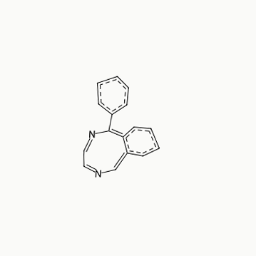 C1=NC=c2ccccc2=C(c2ccccc2)N=C1